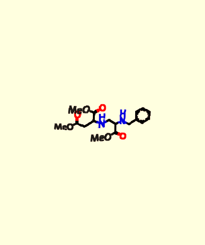 COC(=O)CC(NCC(NCc1ccccc1)C(=O)OC)C(=O)OC